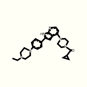 CCN1CCN(c2ccc(-c3cc4c(N5CCN(C(=O)C6CC6)CC5)ccnc4[nH]3)cc2)CC1